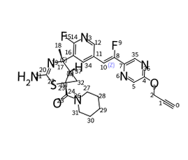 C#CCOc1cnc(/C(F)=C/c2cnc(F)c([C@@]3(C)N=C(N)S[C@@]4(C(=O)N5CCCCC5)C[C@H]43)c2)cn1